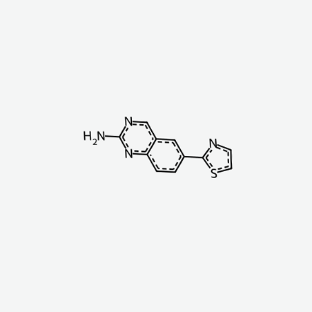 Nc1ncc2cc(-c3nccs3)ccc2n1